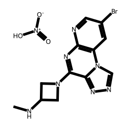 CNC1CN(c2nc3ncc(Br)cc3n3cnnc23)C1.O=[N+]([O-])O